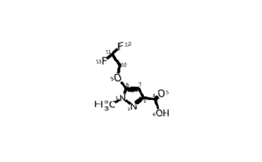 Cn1nc(C(=O)O)cc1OCC(F)F